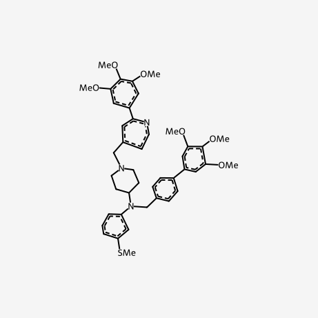 COc1cc(-c2ccc(CN(c3cccc(SC)c3)C3CCN(Cc4ccnc(-c5cc(OC)c(OC)c(OC)c5)c4)CC3)cc2)cc(OC)c1OC